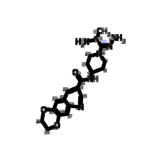 CN(N)/C(=N\N)N1CCC(NC(=O)c2cnc3cc4c(cc3c2)OCCO4)CC1